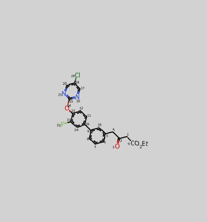 CCOC(=O)CC(=O)Cc1cccc(-c2ccc(Oc3ncc(Cl)cn3)c(F)c2)c1